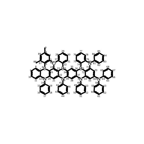 Cc1cc(C)c(B2c3ccccc3N(c3ccccc3)c3cc4c5c(c32)Oc2ccccc2B5c2cc3c(cc2N4c2ccccc2)N(c2ccccc2)c2cc(N(c4ccccc4)c4ccccc4)cc4c2B3c2ccccc2N4c2ccccc2)c(C)c1